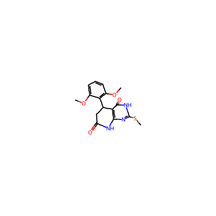 COc1cccc(OC)c1C1CC(=O)Nc2nc(SC)[nH]c(=O)c21